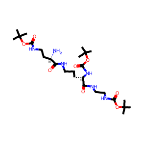 CC(C)(C)OC(=O)NCCNC(=O)[C@H](CCCNC(=O)[C@@H](N)CCNC(=O)OC(C)(C)C)NC(=O)OC(C)(C)C